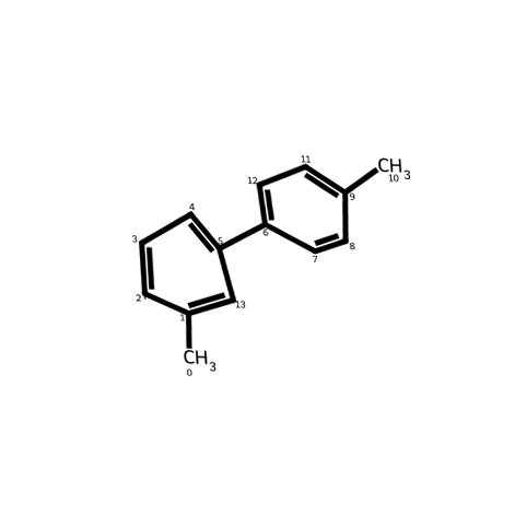 Cc1[c]ccc(-c2ccc(C)cc2)c1